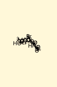 CC(C)c1cc(Cc2c(Cl)cc(OCC(=O)NCCS(C)(=O)=O)cc2Br)ccc1O